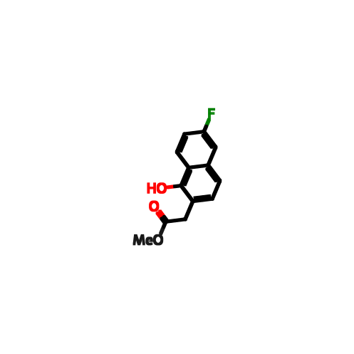 COC(=O)Cc1ccc2cc(F)ccc2c1O